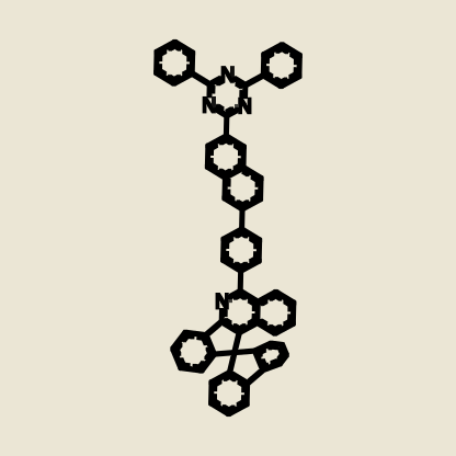 c1ccc(-c2nc(-c3ccccc3)nc(-c3ccc4cc(-c5ccc(-c6nc7c(c8ccccc68)C6(c8ccccc8-c8ccccc86)c6ccccc6-7)cc5)ccc4c3)n2)cc1